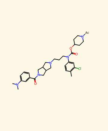 CC(=O)N1CCC(OC(=O)N(CCCN2CC3CN(C(=O)c4cccc(N(C)C)c4)CC3C2)c2ccc(C)c(Cl)c2)CC1